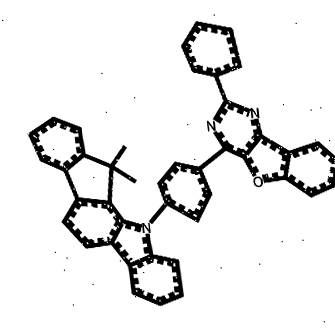 CC1(C)c2ccccc2-c2ccc3c4ccccc4n(-c4ccc(-c5nc(-c6ccccc6)nc6c5oc5ccccc56)cc4)c3c21